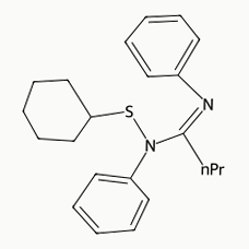 CCCC(=Nc1ccccc1)N(SC1CCCCC1)c1ccccc1